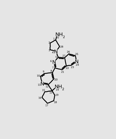 NC1CCN(c2nc(-c3ccnc(C4(N)CCCCC4)c3)cc3cnccc23)C1